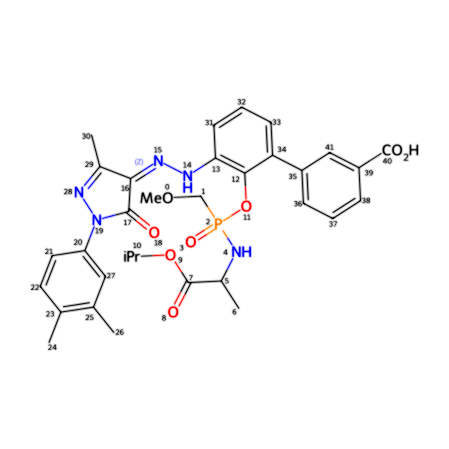 COCP(=O)(NC(C)C(=O)OC(C)C)Oc1c(N/N=C2\C(=O)N(c3ccc(C)c(C)c3)N=C2C)cccc1-c1cccc(C(=O)O)c1